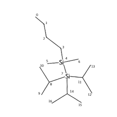 CCCC[Si](C)(C)[Si](C(C)C)(C(C)C)C(C)C